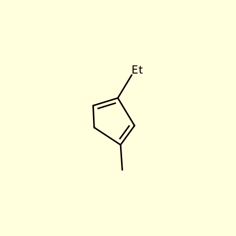 CCC1=CCC(C)=C1